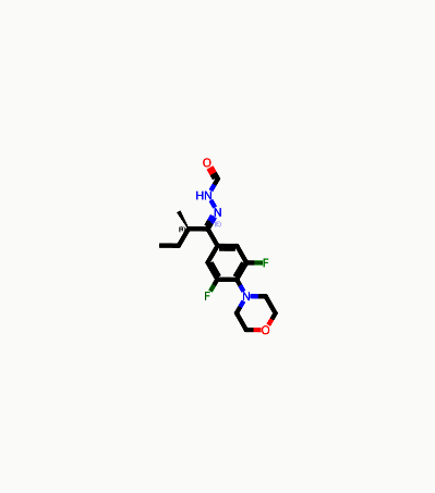 CC[C@@H](C)/C(=N\NC=O)c1cc(F)c(N2CCOCC2)c(F)c1